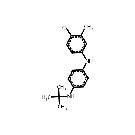 Cc1cc(Nc2ccc(NC(C)(C)C)cc2)ccc1Cl